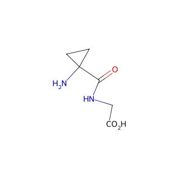 NC1(C(=O)NCC(=O)O)CC1